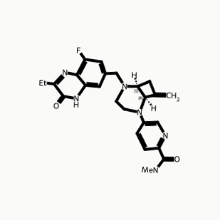 C=C1C[C@H]2[C@@H]1N(c1ccc(C(=O)NC)nc1)CCN2Cc1cc(F)c2nc(CC)c(=O)[nH]c2c1